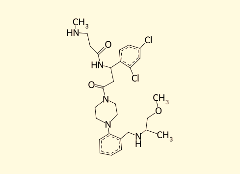 CNCCC(=O)NC(CC(=O)N1CCN(c2ccccc2CNC(C)COC)CC1)c1ccc(Cl)cc1Cl